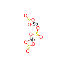 O=S1[O][Sb]([O]S(=O)[O][Sb]2[O]S(=O)[O]2)[O]1